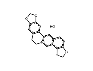 Cl.c1c2c(cc3c1OCO3)-c1cc3ccc4c(c3c[n+]1CC2)OCO4